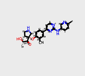 Cc1ccc(Nc2nccc(-c3ccc(O[C@]4(C(=O)[C@H](C)O)CCNC4)c(C#N)c3)n2)cn1